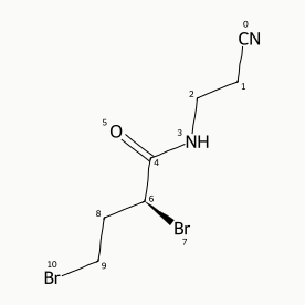 N#CCCNC(=O)[C@@H](Br)CCBr